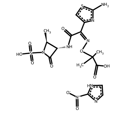 C[C@H]1[C@H](NC(=O)/C(=N\OC(C)(C)C(=O)O)c2csc(N)n2)C(=O)N1S(=O)(=O)O.O=[N+]([O-])c1ncc[nH]1